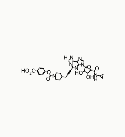 Nc1nc(C#CCC2CCN(C(=O)Oc3ccc(C(=O)O)cc3)CC2)nc2c1ncn2[C@@H]1O[C@H](C(=O)NC2CC2)C(O)C1O